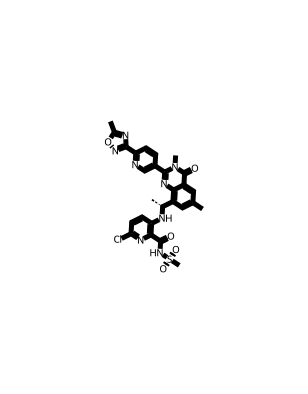 Cc1cc([C@@H](C)Nc2ccc(Cl)nc2C(=O)NS(C)(=O)=O)c2nc(-c3ccc(-c4noc(C)n4)nc3)n(C)c(=O)c2c1